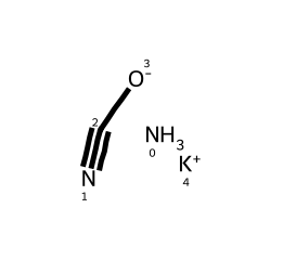 N.N#C[O-].[K+]